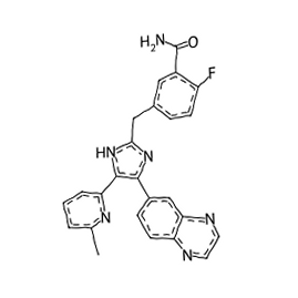 Cc1cccc(-c2[nH]c(Cc3ccc(F)c(C(N)=O)c3)nc2-c2ccc3nccnc3c2)n1